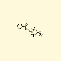 CC1(C)CC(O[Si](C)(C)C)CC(C)(C)N1CCOC(=O)c1ccccc1